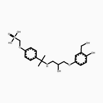 CC(C)(NCC(O)COc1ccc(O)c(CO)c1)c1ccc(OCP(=O)(O)O)cc1